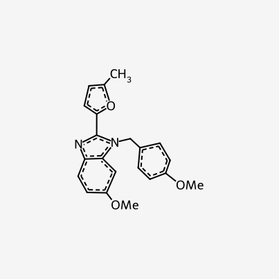 COc1ccc(Cn2c(-c3ccc(C)o3)nc3ccc(OC)cc32)cc1